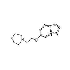 c1cc2ncc(OCCN3CCOCC3)cn2n1